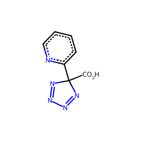 O=C(O)C1(c2ccccn2)N=NN=N1